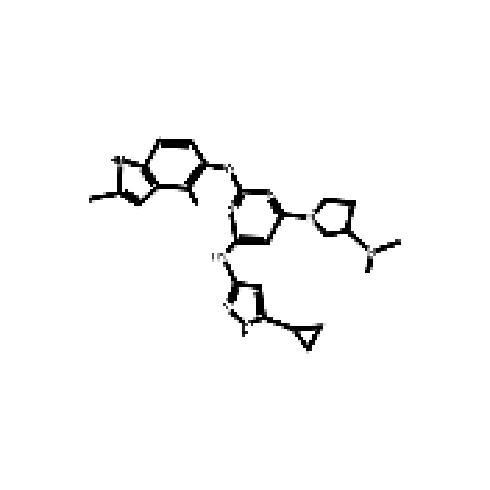 Cc1cc2c(F)c(Oc3nc(Nc4cc(C5CC5)[nH]n4)cc(N4CCC(N(C)C)C4)n3)ccc2[nH]1